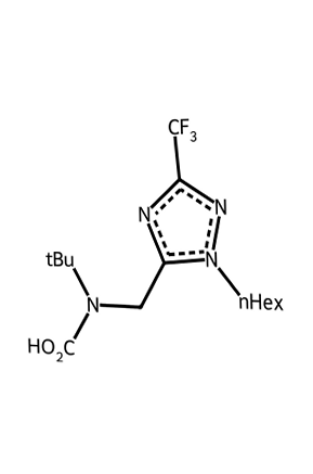 CCCCCCn1nc(C(F)(F)F)nc1CN(C(=O)O)C(C)(C)C